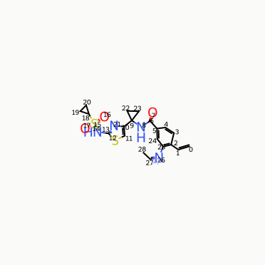 C=Cc1ccc(C(=O)NC2(c3csc(NS(=O)(=O)C4CC4)n3)CC2)cc1/N=C\C